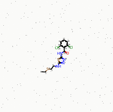 CCSCCNc1nnc(NC(=O)c2c(Cl)cccc2Cl)s1